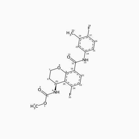 COC(=O)N[C@H]1CCOc2c(C(=O)Nc3ccc(F)c(C)c3)ccc(F)c21